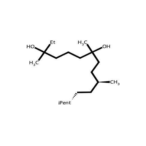 CCC[C@@H](C)CC[C@H](C)CCC(C)(O)CCCC(C)(O)CC